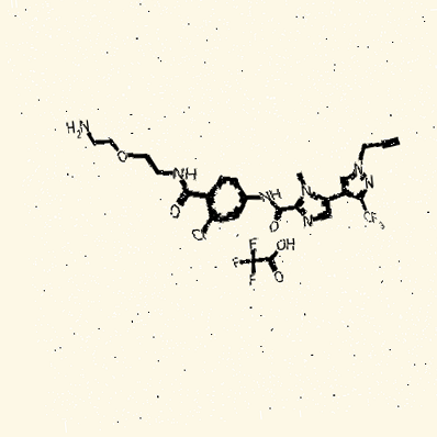 C#CCn1cc(-c2cnc(C(=O)Nc3ccc(C(=O)NCCOCCN)c(Cl)c3)n2C)c(C(F)(F)F)n1.O=C(O)C(F)(F)F